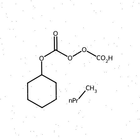 CCCC.O=C(O)OOC(=O)OC1CCCCC1